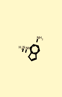 CN.CN.CN.[CH]1C=Cc2ccccc21